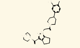 Cc1ccc(C2CCN(C(=O)Cn3nc(C(=O)N4C[C@@H](C)O[C@@H](C)C4)c4c3CCC4)CC2)cc1Cl